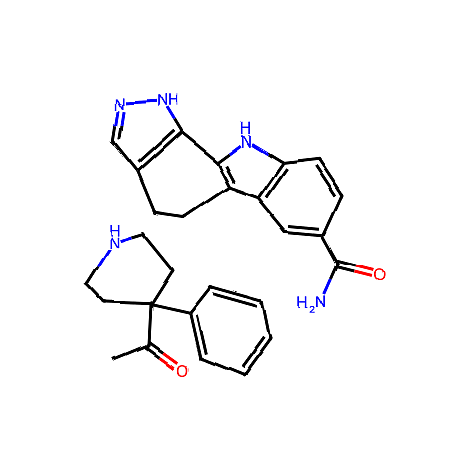 CC(=O)C1(c2ccccc2)CCNCC1.NC(=O)c1ccc2[nH]c3c(c2c1)CCc1cn[nH]c1-3